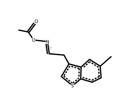 CC(=O)O/N=C/Cc1csc2ccc(C)cc12